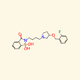 O=C1c2ccccc2S(O)(O)N1CCCCN1CCC(OCc2ccccc2F)C1